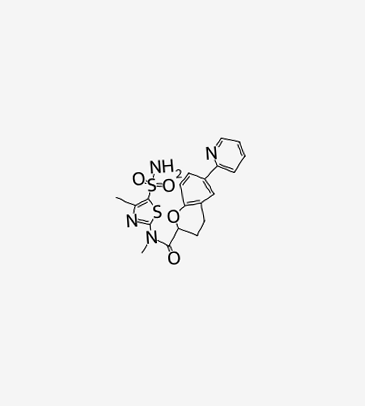 Cc1nc(N(C)C(=O)C2CCc3cc(-c4ccccn4)ccc3O2)sc1S(N)(=O)=O